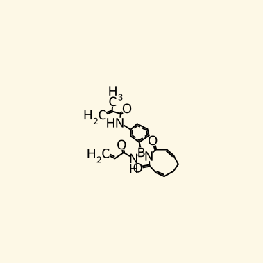 C=CC(=O)NB(c1cccc(NC(=O)C(=C)C)c1)N1C(=O)C=CCCC=CC1=O